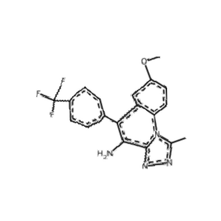 COc1ccc2c(c1)c(-c1ccc(C(F)(F)F)cc1)c(N)c1nnc(C)n12